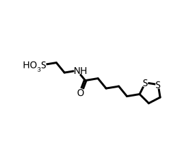 O=C(CCCCC1CCSS1)NCCS(=O)(=O)O